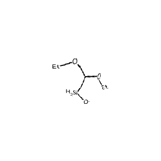 CCOC(OCC)[SiH2][O]